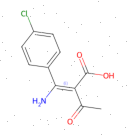 CC(=O)/C(C(=O)O)=C(\N)c1ccc(Cl)cc1